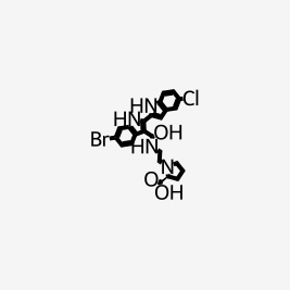 O=C(O)[C@@H]1CCCN1CCNC(O)c1c(-c2cc3cc(Cl)ccc3[nH]2)[nH]c2cc(Br)ccc12